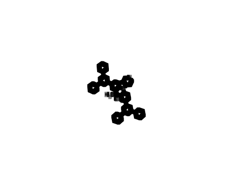 CC1(C)c2cc(-c3cc(-c4ccccc4)cc(-c4ccccc4)c3)ccc2-n2c3ccncc3c3cc(-c4cc(-c5ccccc5)cc(-c5ccccc5)c4)cc1c32